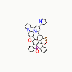 O=P1(c2ccccc2)c2ccccc2C2(c3ccccc3Sc3cc(-c4cc(-c5ccccn5)cc(-c5ccccn5)n4)ccc32)c2cc3c(cc21)oc1ccccc13